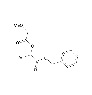 COCC(=O)OC(C(C)=O)C(=O)OCc1ccccc1